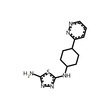 Nc1nnc(NC2CCC(c3cccnn3)CC2)s1